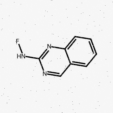 FNc1ncc2ccccc2n1